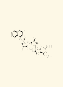 COc1nc(N)nc2c1ncn2C1O[C@H](COP(=O)(NC(C)C(=O)OCC(C)(C)C)Oc2cccc3ccccc23)[C@@H](O)[C@@]1(C)O